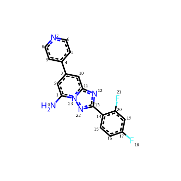 Nc1cc(-c2ccncc2)cc2nc(-c3ccc(F)cc3F)nn12